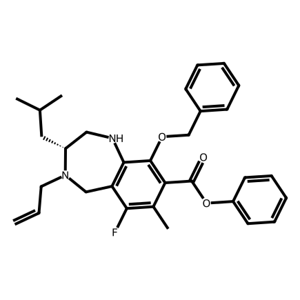 C=CCN1Cc2c(F)c(C)c(C(=O)Oc3ccccc3)c(OCc3ccccc3)c2NC[C@H]1CC(C)C